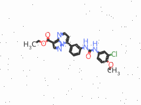 CCOC(=O)c1cnn2c(-c3cccc(NC(=O)Nc4ccc(OC)c(Cl)c4)c3)ccnc12